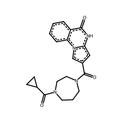 O=C(c1cc2[nH]c(=O)c3ccccc3n2c1)N1CCCN(C(=O)C2CC2)CC1